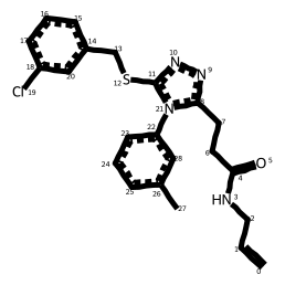 C=CCNC(=O)CCc1nnc(SCc2cccc(Cl)c2)n1-c1cccc(C)c1